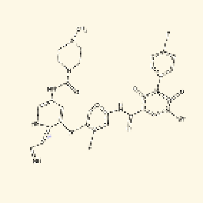 CC(C)n1cc(C(=O)Nc2ccc(OC3=CC(NC(=O)N4CCN(C)CC4)=CN/C3=C\C=N)c(F)c2)c(=O)n(-c2ccc(F)cc2)c1=O